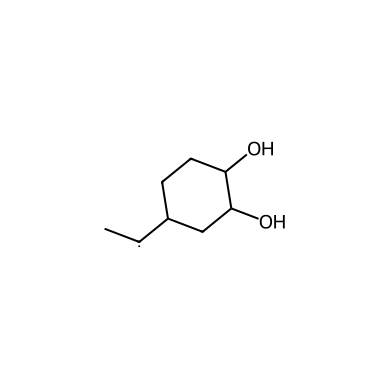 C[CH]C1CCC(O)C(O)C1